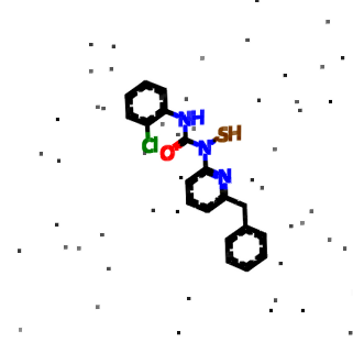 O=C(Nc1ccccc1Cl)N(S)c1cccc(Cc2ccccc2)n1